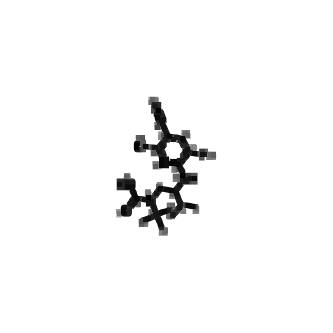 CC(C)C(CN(C(=O)O)C(C)(C)C)Nc1nc(Cl)c(C#N)cc1F